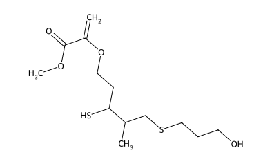 C=C(OCCC(S)C(C)CSCCCO)C(=O)OC